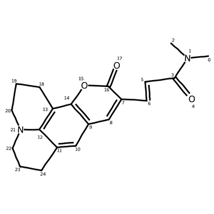 CN(C)C(=O)/C=C/c1cc2cc3c4c(c2oc1=O)CCCN4CCC3